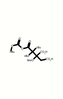 CCCCOC(=O)OC(=O)C(CCCC)(CCCC)C(CC(=O)O)(OC)C(=O)O